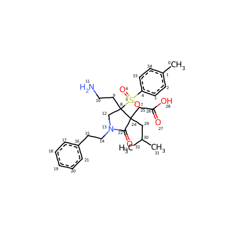 Cc1ccc(S(=O)(=O)C2(CCN)CN(CCc3ccccc3)C(=O)C2(CC(=O)O)CC(C)C)cc1